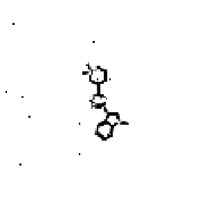 Cn1cc(-c2noc(C3CCC[N+](C)(C)C3)n2)c2ccccc21.[I-]